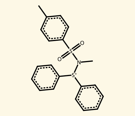 Cc1ccc(S(=O)(=O)N(C)[S+](c2ccccc2)c2ccccc2)cc1